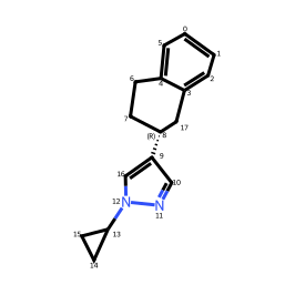 c1ccc2c(c1)CC[C@@H](c1cnn(C3CC3)c1)C2